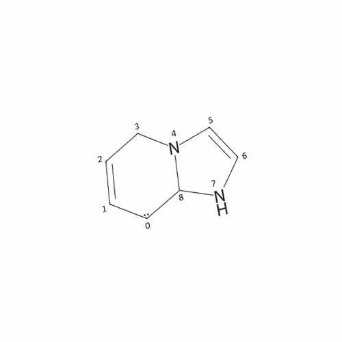 [C]1C=CCN2C=CNC12